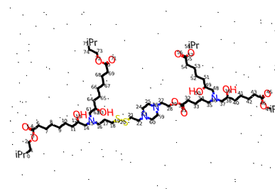 CC(C)CCOC(=O)CCCCCCC(O)CN(CCCSSCCN1CCN(CCOC(=O)CCCCN(CC(O)CCCCC(=O)OC(C)C)CC(O)CCCCC(=O)OC(C)C)CC1)CC(O)CCCCCCC(=O)OCCC(C)C